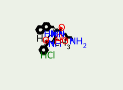 CC(C)(NC(=O)c1ccccc1)C(=O)N[C@H](Cc1ccc2ccccc2c1)C(=O)NCC(O)CN.Cl